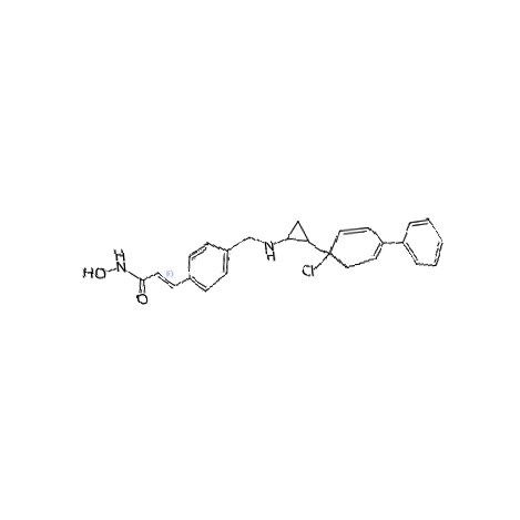 O=C(/C=C/c1ccc(CNC2CC2C2(Cl)C=CC(c3ccccc3)=CC2)cc1)NO